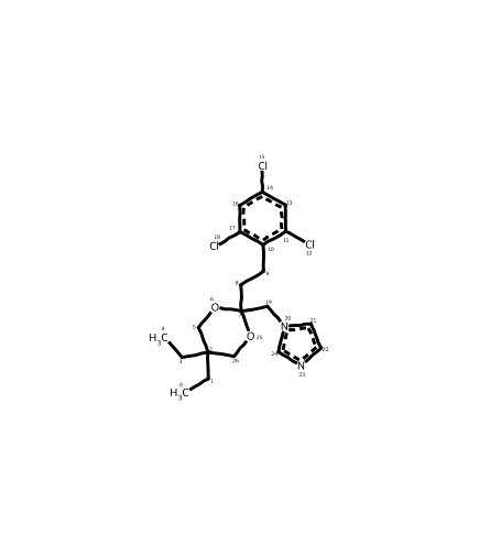 CCC1(CC)COC(CCc2c(Cl)cc(Cl)cc2Cl)(Cn2ccnc2)OC1